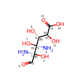 N[C@](O)(C=O)[C@@](N)(O)[C@H](O)[C@H](O)C(=O)O